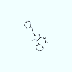 CCNC1=NN(CCc2ccccc2)C(C)N1c1ccccc1